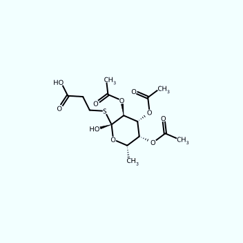 CC(=O)O[C@@H]1[C@H](OC(C)=O)[C@H](C)O[C@](O)(SCCC(=O)O)[C@H]1OC(C)=O